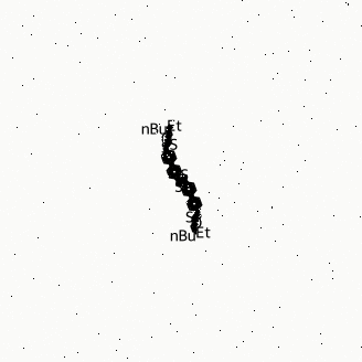 CCCCC(CC)COC(=S)Sc1ccc(-c2ccc3c(c2)sc2c4ccc(-c5ccc(SC(=S)OCC(CC)CCCC)cc5)cc4sc32)cc1